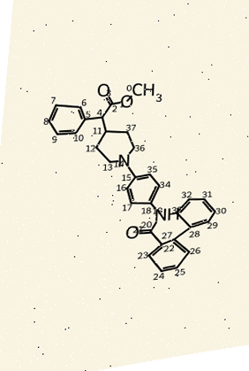 COC(=O)C(c1ccccc1)C1CCN(c2ccc(NC(=O)c3ccccc3-c3ccccc3)cc2)CC1